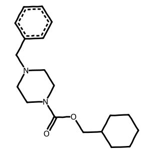 O=C(OCC1CCCCC1)N1CCN(Cc2ccccc2)CC1